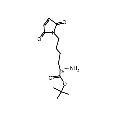 CC(C)(C)OC(=O)[C@@H](N)CCCCN1C(=O)C=CC1=O